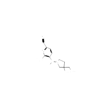 Cc1nc(C#N)ccc1[S+]([O-])N1CCC(O)(CO)C1